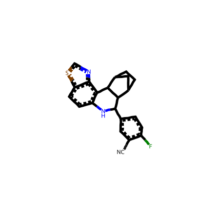 N#Cc1cc(C2Nc3ccc4scnc4c3C3C4CCC(C4)C23)ccc1F